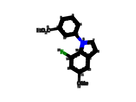 CCOC(=O)c1cccc(-n2ccc3cc(OC)cc(F)c32)c1